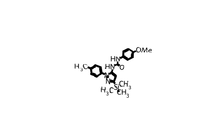 COc1ccc(NC(=O)Nc2cc([Si](C)(C)C)nn2-c2ccc(C)cc2)cc1